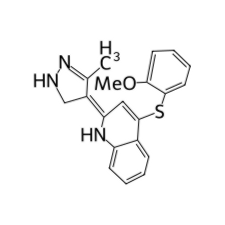 COc1ccccc1SC1=CC(=C2CNN=C2C)Nc2ccccc21